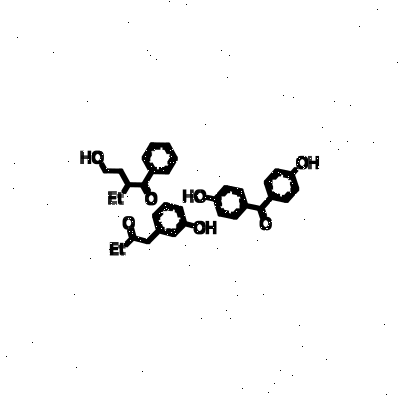 CCC(=O)Cc1cccc(O)c1.CCC(CCO)C(=O)c1ccccc1.O=C(c1ccc(O)cc1)c1ccc(O)cc1